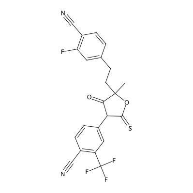 CC1(CCc2ccc(C#N)c(F)c2)OC(=S)C(c2ccc(C#N)c(C(F)(F)F)c2)C1=O